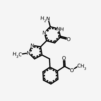 COC(=O)c1ccccc1Cc1cn(C)nc1-c1cc(=O)[nH]c(N)n1